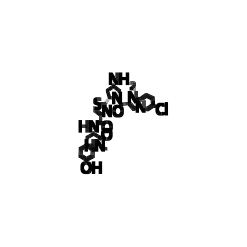 CNC(=O)C(Cc1ccc(O)cc1)NC(=O)c1csc([C@@H]2C[C@@H](N)CN2C(=O)c2cn3cc(Cl)ccc3n2)n1